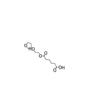 C1CCOC1.O=C(O)CCCCC(=O)OCCO